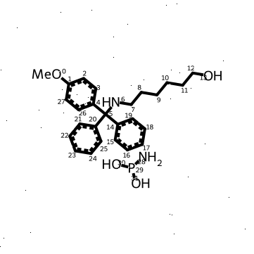 COc1ccc(C(NCCCCCCO)(c2ccccc2)c2ccccc2)cc1.NP(O)O